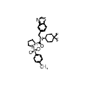 Cc1ccc(S(=O)(=O)N2CCC[C@H]2C(=O)N(Cc2ccc3scnc3c2)C2CCC(F)(F)CC2)cc1